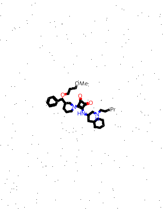 COCCCO[C@@H](c1ccccc1)C1CCCN(c2c(NC(CNCCC(C)C)CC3CCCCC3)c(=O)c2=O)C1